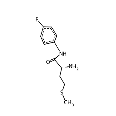 CSCC[C@@H](N)C(=O)Nc1ccc(F)cc1